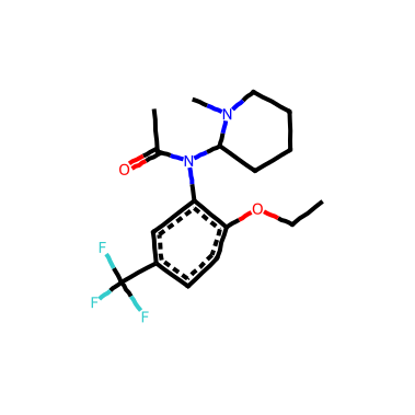 CCOc1ccc(C(F)(F)F)cc1N(C(C)=O)C1CCCCN1C